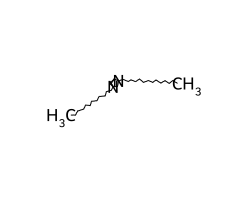 CCCCCCCCCCCCCCN1C=CN(CCCCCCCCCCCC)C1